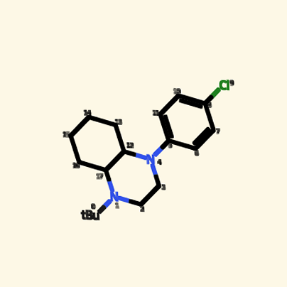 CC(C)(C)N1CCN(c2ccc(Cl)cc2)C2CCCCC21